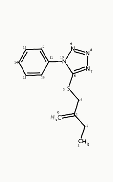 C=C(CC)CSc1nnnn1-c1ccccc1